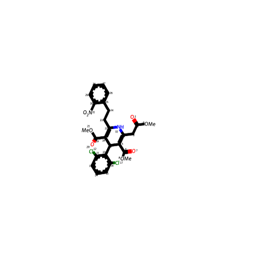 COC(=O)CC1=C(C(=O)OC)C(c2c(Cl)cccc2Cl)C(C(=O)OC)=C(CCc2ccccc2[N+](=O)[O-])N1